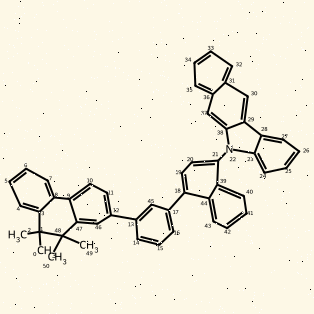 CC1(C)c2ccccc2-c2ccc(-c3cccc(-c4ccc(-n5c6ccccc6c6cc7ccccc7cc65)c5ccccc45)c3)cc2C1(C)C